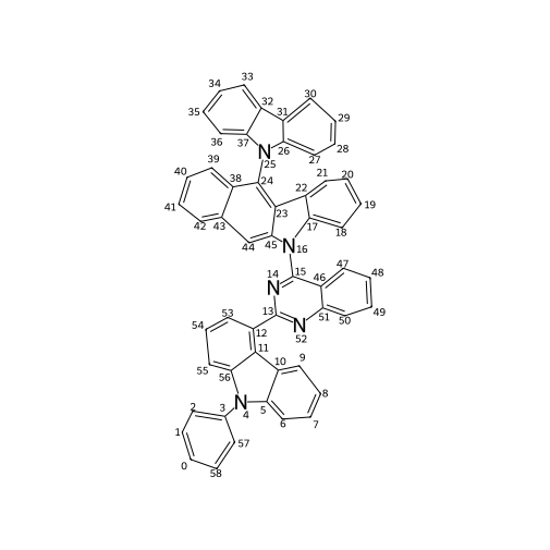 c1ccc(-n2c3ccccc3c3c(-c4nc(-n5c6ccccc6c6c(-n7c8ccccc8c8ccccc87)c7ccccc7cc65)c5ccccc5n4)cccc32)cc1